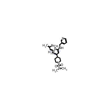 C=C(Br)/C=N\N(C)/C(=C\C(=N/C)C1CCN(S(=O)(=O)N(C)C)CC1)NCc1cccnc1